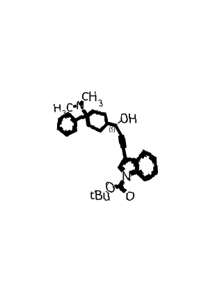 CN(C)C1(c2ccccc2)CCC([C@H](O)C#Cc2cn(C(=O)OC(C)(C)C)c3ccccc23)CC1